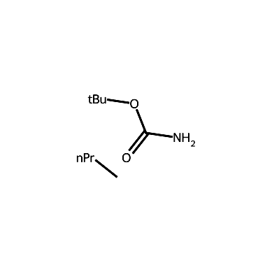 CC(C)(C)OC(N)=O.CCCC